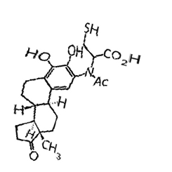 CC(=O)N(c1cc2c(c(O)c1O)CC[C@@H]1[C@@H]2CC[C@]2(C)C(=O)CC[C@@H]12)C(CS)C(=O)O